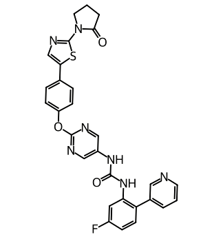 O=C(Nc1cnc(Oc2ccc(-c3cnc(N4CCCC4=O)s3)cc2)nc1)Nc1cc(F)ccc1-c1cccnc1